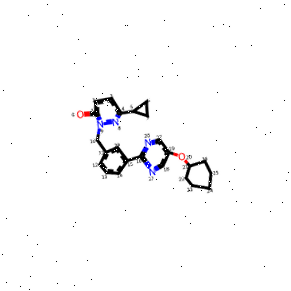 O=c1ccc(C2CC2)nn1Cc1cccc(-c2ncc(OC3CCCCC3)cn2)c1